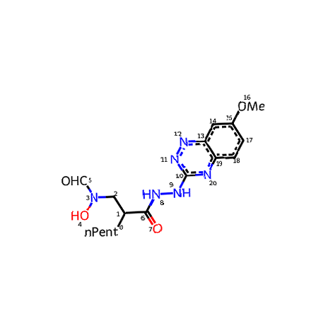 CCCCCC(CN(O)C=O)C(=O)NNc1nnc2cc(OC)ccc2n1